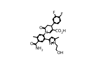 Cc1cc(N2C=C(C(=O)O)C(c3ccc(F)c(F)c3)CC2=O)c(-c2cc(C)n(CCO)n2)cc1C(N)=O